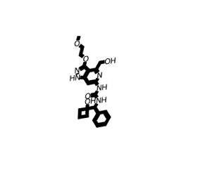 COCCOc1n[nH]c2cc(NC(=O)NC(c3ccccc3)C3(O)CCC3)nc(CO)c12